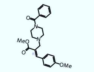 COC(=O)/C(=C/c1ccc(OC)cc1)CN1CCN(C(=O)c2ccccc2)CC1